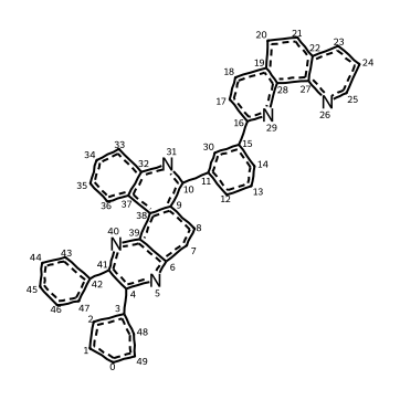 c1ccc(-c2nc3ccc4c(-c5cccc(-c6ccc7ccc8cccnc8c7n6)c5)nc5ccccc5c4c3nc2-c2ccccc2)cc1